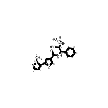 Cn1nccc1-c1cc(C(=O)NC(c2ccccc2)C(NC(=O)O)C(C)(C)C)cs1